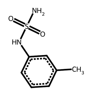 Cc1cccc(NS(N)(=O)=O)c1